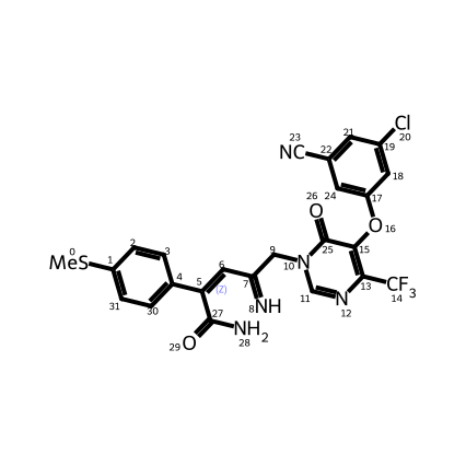 CSc1ccc(/C(=C/C(=N)Cn2cnc(C(F)(F)F)c(Oc3cc(Cl)cc(C#N)c3)c2=O)C(N)=O)cc1